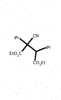 CCOC(=O)C(C(C)C)C(C#N)(C(=O)OCC)C(C)C